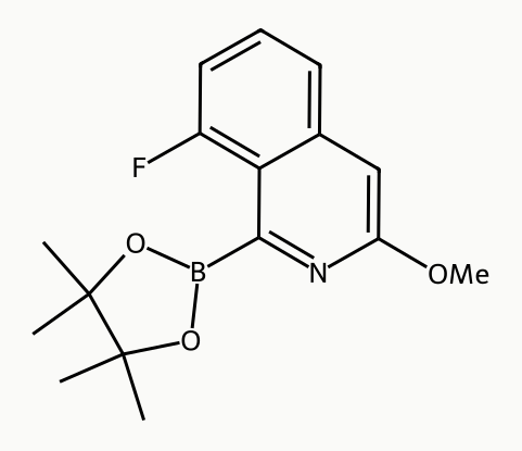 COc1cc2cccc(F)c2c(B2OC(C)(C)C(C)(C)O2)n1